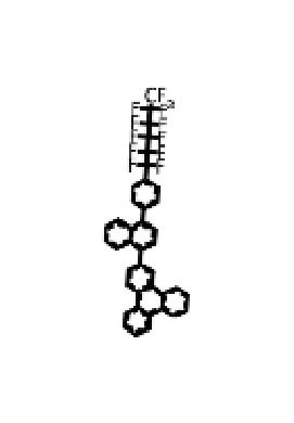 FC(F)(F)C(F)(F)C(F)(F)C(F)(F)C(F)(F)C(F)(F)c1ccc(-c2ccc(-c3ccc4c5ccccc5c5ccccc5c4c3)c3ccccc23)cc1